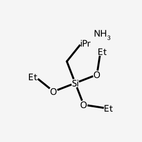 CCO[Si](CC(C)C)(OCC)OCC.N